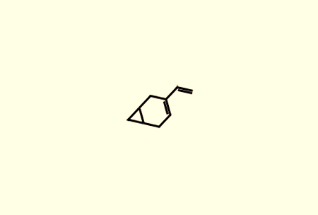 C=[C]C1=CCC2CC2C1